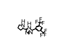 FC(F)(F)c1cc(-c2nnc(C3CCCN3)[nH]2)cc(C(F)(F)F)c1